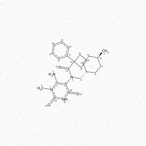 Cn1c(N)c(N(C[C@H]2CC[C@H](C)CC2)C(=O)C2(c3ccccc3)CCC2)c(=O)[nH]c1=O